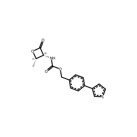 C[C@@H]1OC(=O)[C@@H]1NC(=O)OCc1ccc(-c2ccsc2)cc1